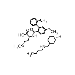 CCCCNCC1CCCCC1.CCc1ccc(C(=O)NC(CCSC)C(=O)O)c(-c2ccccc2C)c1.[LiH]